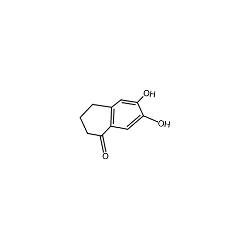 O=C1CCCc2cc(O)c(O)cc21